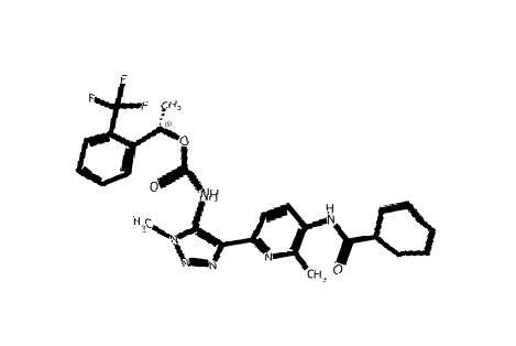 Cc1nc(-c2nnn(C)c2NC(=O)O[C@@H](C)c2ccccc2C(F)(F)F)ccc1NC(=O)C1CCCCC1